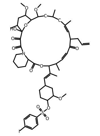 C=CCC1/C=C(/C)CC(C)CC(OC)C2OC(O)(C(=O)C(=O)N3CCCCC3C(=O)OC(/C(C)=C/C3CCC(OS(=O)(=O)c4ccc(I)cc4)C(OC)C3)C(C)/C=C\C1=O)C(C)CC2OC